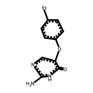 CCc1ccc(Oc2cnc(N)[nH]c2=O)cc1